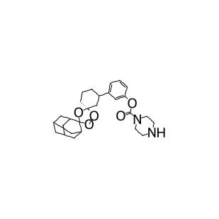 O=C(Oc1cccc(C2CCC[C@]3(C2)OOC2(O3)C3CC4CC(C3)CC2C4)c1)N1CCNCC1